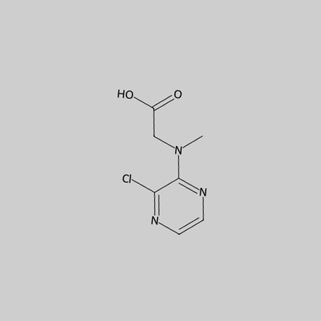 CN(CC(=O)O)c1nccnc1Cl